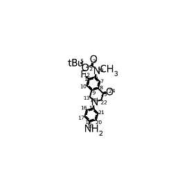 CN(C(=O)OC(C)(C)C)c1cc2c(cc1F)CN(c1ccc(N)cc1)CC2=O